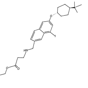 CCOC(=O)CCNCc1ccc2cc(O[C@H]3CC[C@H](C(C)(C)C)CC3)cc(I)c2c1